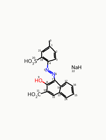 Cc1ccc(N=Nc2c(O)c(C(=O)O)cc3ccccc23)c(S(=O)(=O)O)c1.[NaH]